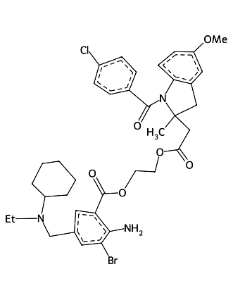 CCN(Cc1cc(Br)c(N)c(C(=O)OCCOC(=O)CC2(C)Cc3cc(OC)ccc3N2C(=O)c2ccc(Cl)cc2)c1)C1CCCCC1